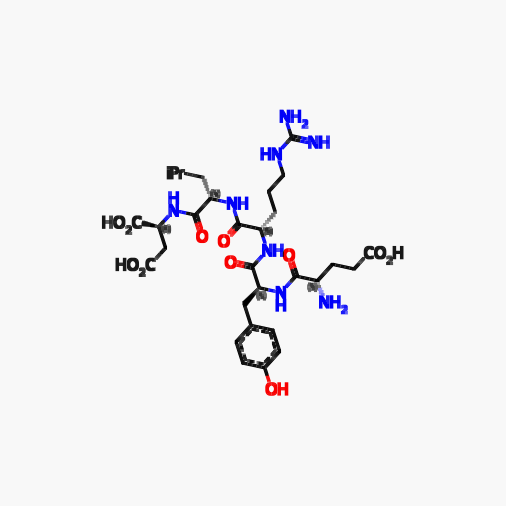 CC(C)C[C@H](NC(=O)[C@H](CCCNC(=N)N)NC(=O)[C@H](Cc1ccc(O)cc1)NC(=O)[C@@H](N)CCC(=O)O)C(=O)N[C@@H](CC(=O)O)C(=O)O